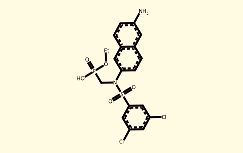 CCOP(=O)(O)CN(c1ccc2cc(N)ccc2c1)S(=O)(=O)c1cc(Cl)cc(Cl)c1